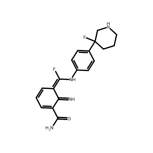 N=C1C(C(N)=O)=CC=C/C1=C(\F)Nc1ccc(C2(F)CCCNC2)cc1